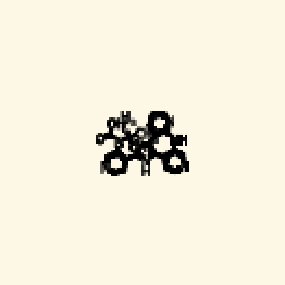 CC(C)(C)N(C(=O)O)c1cnccc1-c1nc2c([nH]1)-c1ccncc1Nc1ncccc1-2